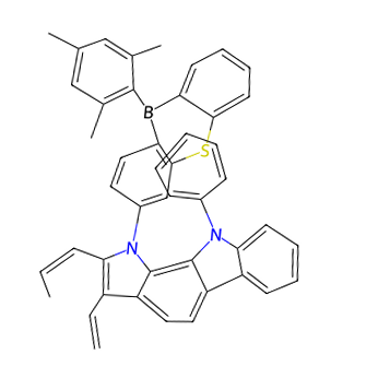 C=Cc1c(/C=C\C)n(-c2ccc3c(c2)Sc2ccccc2B3c2c(C)cc(C)cc2C)c2c1ccc1c3ccccc3n(-c3ccccc3)c12